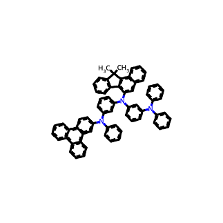 CC1(C)c2ccccc2-c2c(N(c3cccc(N(c4ccccc4)c4ccccc4)c3)c3cccc(N(c4ccccc4)c4ccc5c6ccccc6c6ccccc6c5c4)c3)cc3ccccc3c21